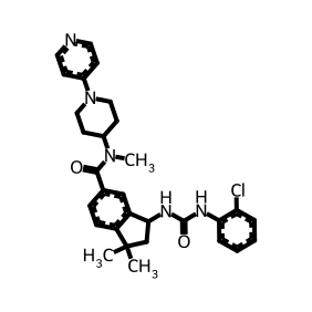 CN(C(=O)c1ccc2c(c1)C(NC(=O)Nc1ccccc1Cl)CC2(C)C)C1CCN(c2ccncc2)CC1